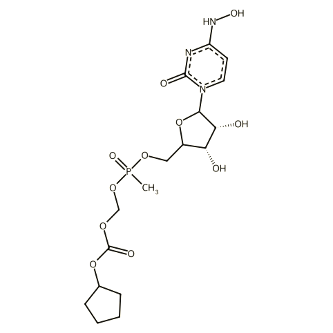 CP(=O)(OCOC(=O)OC1CCCC1)OCC1OC(n2ccc(NO)nc2=O)[C@H](O)[C@@H]1O